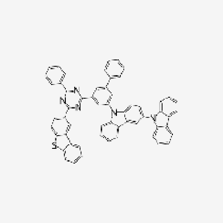 c1ccc(-c2cc(-c3nc(-c4ccccc4)nc(-c4ccc5sc6ccccc6c5c4)n3)cc(-n3c4ccccc4c4cc(-n5c6ccccc6c6ccccc65)ccc43)c2)cc1